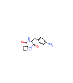 Nc1ccc(CC2NC(=O)C3(CCC3)NC2=O)cc1